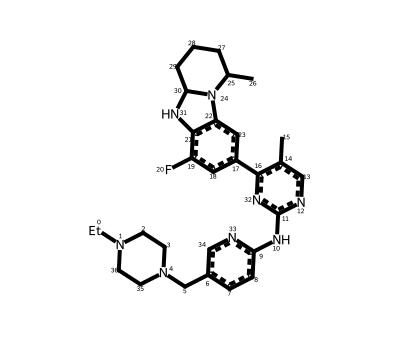 CCN1CCN(Cc2ccc(Nc3ncc(C)c(-c4cc(F)c5c(c4)N4C(C)CCCC4N5)n3)nc2)CC1